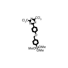 CO[Si](OC)(OC)c1ccc(COc2ccc(-c3nc(C(Cl)(Cl)Cl)nc(C(Cl)(Cl)Cl)n3)cc2)cc1